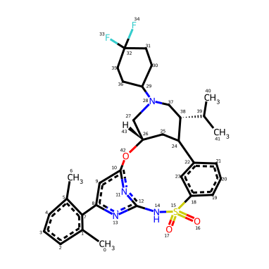 Cc1cccc(C)c1-c1cc2nc(n1)NS(=O)(=O)c1cccc(c1)C1C[C@@H](CN(C3CCC(F)(F)CC3)C[C@@H]1C(C)C)O2